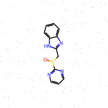 [O-][S+](Cc1nc2ccccc2[nH]1)c1ncccn1